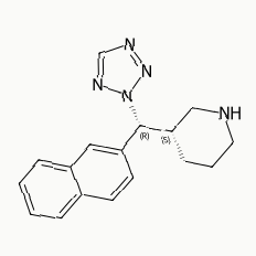 c1ccc2cc([C@@H]([C@H]3CCCNC3)n3ncnn3)ccc2c1